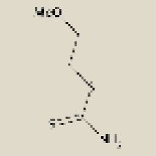 COCCSC(N)=S